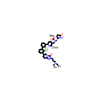 COc1nc(-c2cccc(-c3cccc(-c4ccc5nn(CCCN(CC(C)C)CC(C)C)c(=O)n5c4)c3Cl)c2Cl)ccc1CN(C[C@@H]1CCC(=O)N1)C(=O)OC(C)(C)C